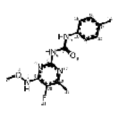 CONc1nc(NC(=O)Nc2ccc(C)cc2)nc(C)c1F